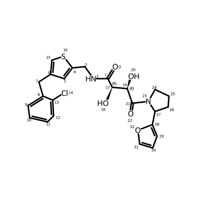 O=C(NCc1cc(Cc2ccccc2Cl)cs1)[C@H](O)[C@@H](O)C(=O)N1CCCC1c1ccco1